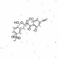 C#Cc1cc(Cl)c(C(=O)NC(Cc2cccc(S(C)(=O)=O)c2)C(=O)O)c(Cl)c1